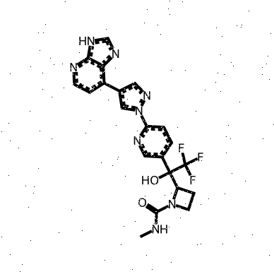 CNC(=O)N1CCC1C(O)(c1ccc(-n2cc(-c3ccnc4[nH]cnc34)cn2)nc1)C(F)(F)F